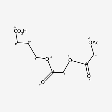 CC(=O)OCC(=O)OCC(=O)OCCCC(=O)O